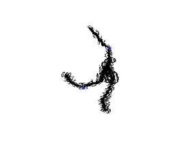 CCCCCCCC/C=C\CCCCCCCC(=O)OC[C@@H](COC(=O)CCCCCCCCCCCCCCC)OC(=O)CCCCCCC/C=C\CCCCCCCC